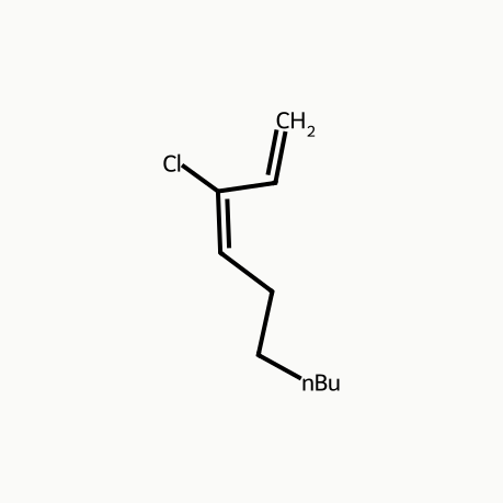 C=C/C(Cl)=C\CCCCCC